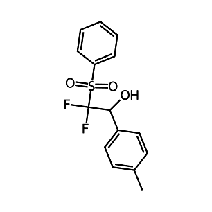 Cc1ccc(C(O)C(F)(F)S(=O)(=O)c2ccccc2)cc1